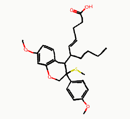 CCCCC(C=CCCC(=O)O)C1c2ccc(OC)cc2OCC1(SC)c1ccc(OC)cc1